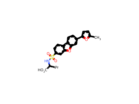 Cc1ccc(-c2ccc3c(c2)oc2cc(S(=O)(=O)NC(C(=O)O)C(C)C)ccc23)o1